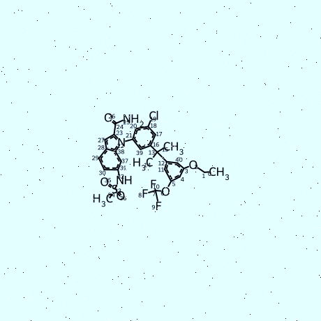 CCOc1cc(OC(F)(F)F)cc(C(C)(C)c2cc(Cl)cc(-n3c(C(N)=O)cc4ccc(NS(C)(=O)=O)cc43)c2)c1